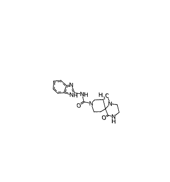 CN1CCNC(=O)C12CCN(C(=O)Nc1nc3ccccc3[nH]1)CC2